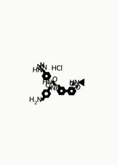 Cl.NCC1CCC(C(=O)N[C@@H](Cc2cccc(-c3cccc(S(=O)(=O)NC4CC4)c3)c2)C(=O)Nc2ccc(-c3nnn[nH]3)cc2)CC1